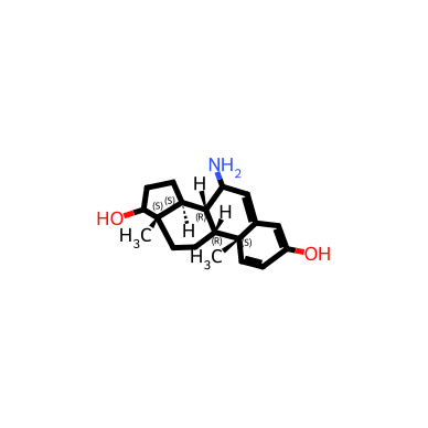 C[C@]12C=CC(O)=CC1=CC(N)[C@@H]1[C@H]2CC[C@]2(C)C(O)CC[C@@H]12